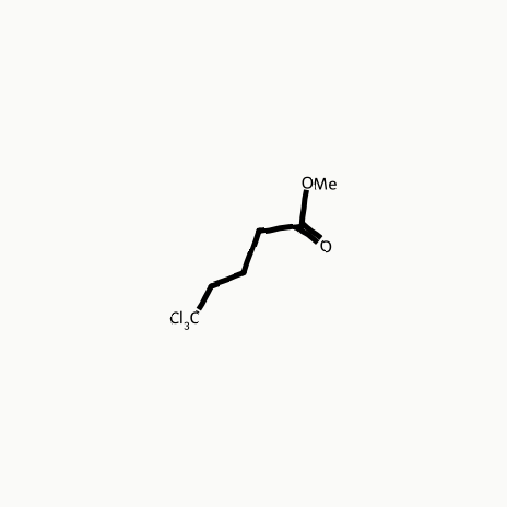 COC(=O)CCCC(Cl)(Cl)Cl